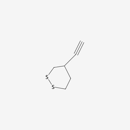 C#CC1CCSSC1